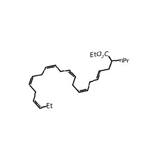 CC/C=C\C/C=C\C/C=C\C/C=C\C/C=C\C/C=C/CC(CCC)C(=O)OCC